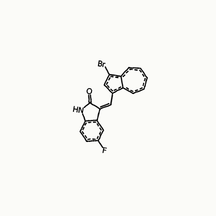 O=C1Nc2ccc(F)cc2C1=Cc1cc(Br)c2cccccc1-2